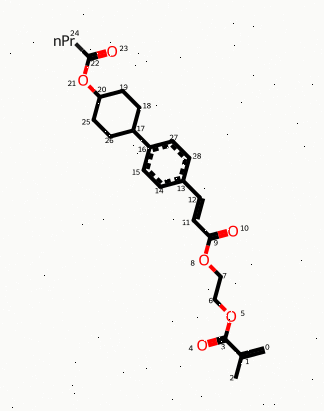 C=C(C)C(=O)OCCOC(=O)/C=C/c1ccc(C2CCC(OC(=O)CCC)CC2)cc1